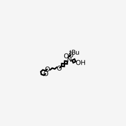 CC(C)(C)OC(=O)N(C1CC2(CC(OCCCCOC3CCCCO3)C2)C1)[C@H]1C[C@@H](O)C1